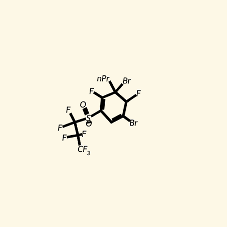 CCCC1(Br)[C](F)C(Br)=CC(S(=O)(=O)C(F)(F)C(F)(F)C(F)(F)F)=C1F